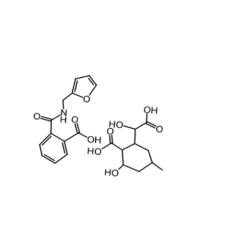 CC1CC(O)C(C(=O)O)C(C(O)C(=O)O)C1.O=C(O)c1ccccc1C(=O)NCc1ccco1